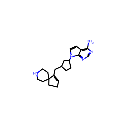 Nc1ncnc2c1ccn2C1CCC(CC2=CCCC23CCNCC3)C1